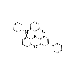 c1ccc(-c2cc3c4c(c2)Oc2cccc5c2B4c2c(cccc2N5c2ccccc2)O3)cc1